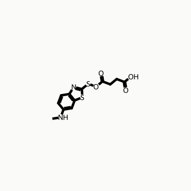 CNc1ccc2nc(SOC(=O)CCC(=O)O)sc2c1